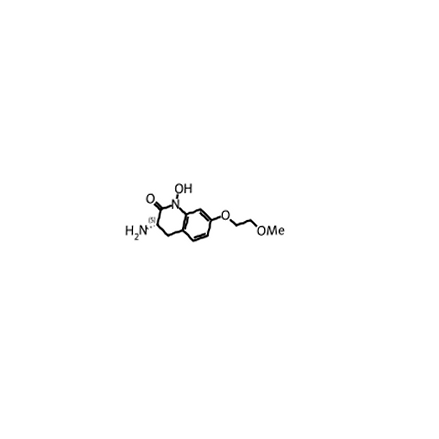 COCCOc1ccc2c(c1)N(O)C(=O)[C@@H](N)C2